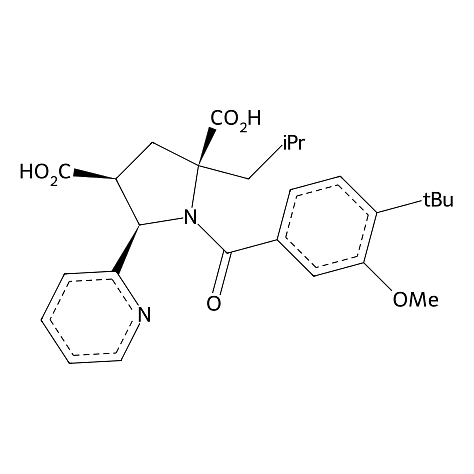 COc1cc(C(=O)N2[C@@H](c3ccccn3)[C@@H](C(=O)O)C[C@@]2(CC(C)C)C(=O)O)ccc1C(C)(C)C